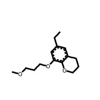 CCc1cc2c(c(OCCCOC)c1)OCCC2